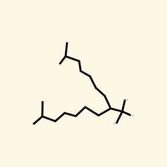 [CH2]C([CH2])([CH2])[C](CCCCCC(C)C)CCCCCC(C)C